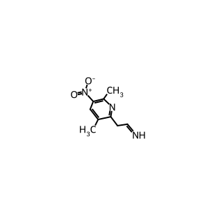 Cc1cc([N+](=O)[O-])c(C)nc1CC=N